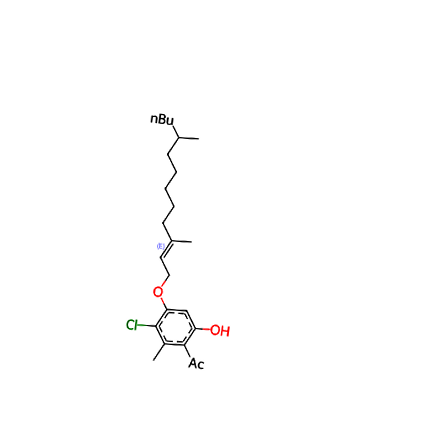 CCCCC(C)CCCCC/C(C)=C/COc1cc(O)c(C(C)=O)c(C)c1Cl